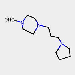 O=CN1CCN(CCCN2CCCC2)CC1